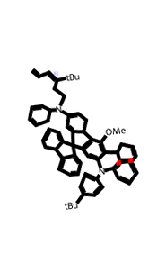 C=C/C=C(\CCN(C1=CCC2C(=C1)C1(C3=CC=CCC3c3ccccc31)c1cc(N(c3ccccc3)c3ccc(C(C)(C)C)cc3)c(C3C=CC=CC3)c(OC)c12)C1C=CC=CC1)C(C)(C)C